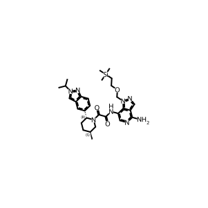 CC(C)n1cc2cc([C@H]3CC[C@H](C)CN3C(=O)C(=O)Nc3cnc(N)c4cnn(COCC[Si](C)(C)C)c34)ccc2n1